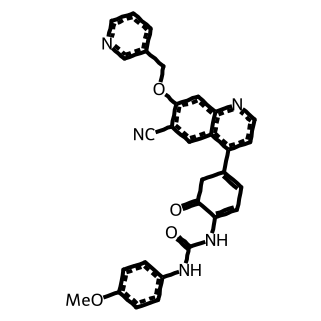 COc1ccc(NC(=O)NC2=CC=C(c3ccnc4cc(OCc5cccnc5)c(C#N)cc34)CC2=O)cc1